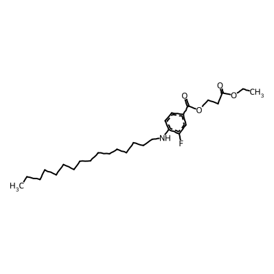 CCCCCCCCCCCCCCCCNc1ccc(C(=O)OCCC(=O)OCC)cc1F